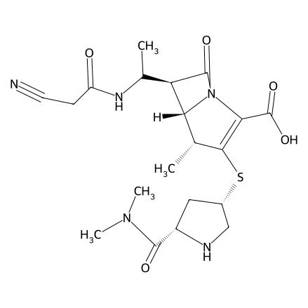 CC(NC(=O)CC#N)[C@H]1C(=O)N2C(C(=O)O)=C(S[C@@H]3CN[C@H](C(=O)N(C)C)C3)[C@H](C)[C@H]12